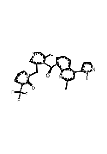 Cc1cc(-c2ccnn2C)c2cccc(C(=O)c3c(Cl)cncc3Cn3cccc(C(F)(F)F)c3=O)c2n1